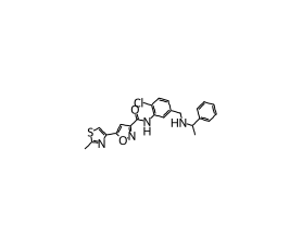 Cc1nc(-c2cc(C(=O)Nc3cc(CNC(C)c4ccccc4)ccc3Cl)no2)cs1